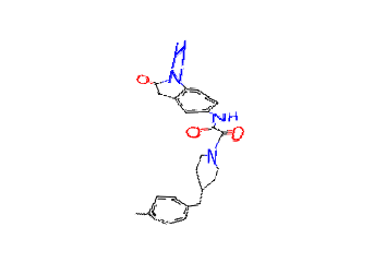 Cc1ccc(CC2CCN(C(=O)C(=O)Nc3ccc4c(c3)CC(=O)N4)CC2)cc1